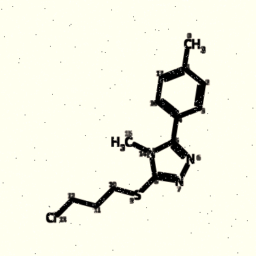 Cc1ccc(-c2nnc(SCCCCl)n2C)cc1